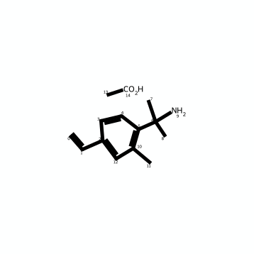 C=Cc1ccc(C(C)(C)N)c(C)c1.CC(=O)O